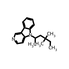 CCC(C)(C)CC(C)n1c2ccccc2c2cnccc21